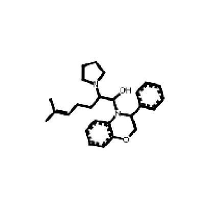 CC(C)=CCCC(C(O)N1c2ccccc2OCC1c1ccccc1)N1CCCC1